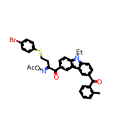 CCn1c2ccc(C(=O)/C(CCSc3ccc(Br)cc3)=N/OC(C)=O)cc2c2cc(C(=O)c3ccccc3C)ccc21